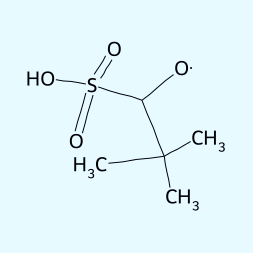 CC(C)(C)C([O])S(=O)(=O)O